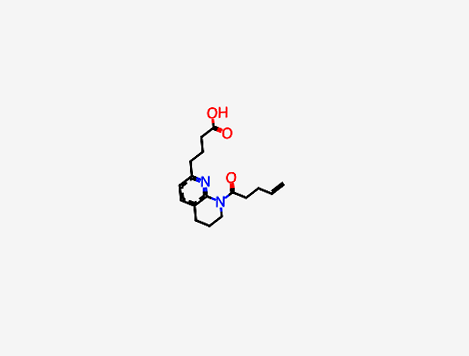 C=CCCC(=O)N1CCCc2ccc(CCCC(=O)O)nc21